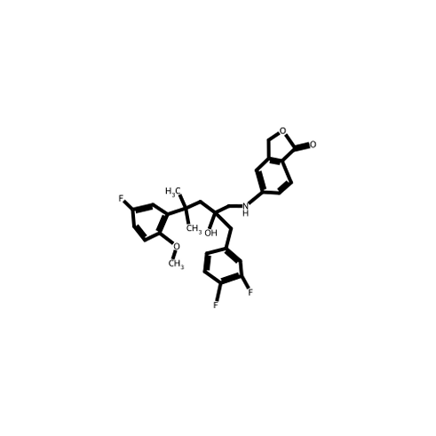 COc1ccc(F)cc1C(C)(C)CC(O)(CNc1ccc2c(c1)COC2=O)Cc1ccc(F)c(F)c1